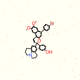 COc1cc2c(-c3ccc(Br)cc3)cc3c(c2cc1OC)C=CC(c1ccc(O)cc1)(c1cc2c4c(c1)CCCN4CCC2)O3